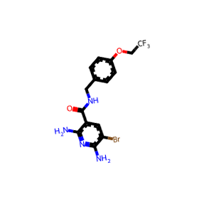 Nc1nc(N)c(C(=O)NCc2ccc(OCC(F)(F)F)cc2)cc1Br